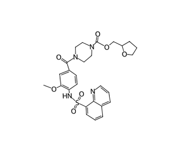 COc1cc(C(=O)N2CCN(C(=O)OCC3CCCO3)CC2)ccc1NS(=O)(=O)c1cccc2cccnc12